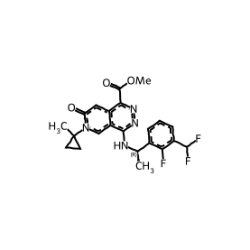 COC(=O)c1nnc(N[C@H](C)c2cccc(C(F)F)c2F)c2cn(C3(C)CC3)c(=O)cc12